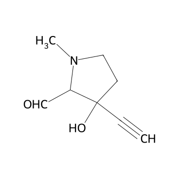 C#CC1(O)CCN(C)C1C=O